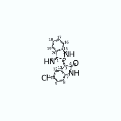 N=C1/C(=C2/C(=O)Nc3ccc(Cl)cc32)Nc2ccccc21